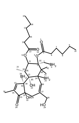 BC[C@@]1(OC(=O)CCCCC)C(OC(=O)CCCCC)[C@@H](C)[C@@]2(O)C(B)(C=C(CO)CC3(O)C(=O)C(C)=C[C@]32B)C1(C)C